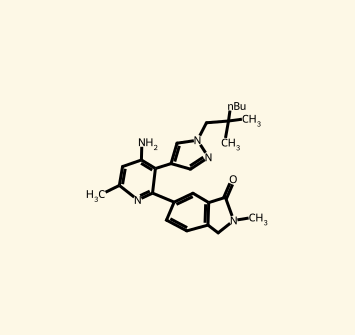 CCCCC(C)(C)Cn1cc(-c2c(N)cc(C)nc2-c2ccc3c(c2)C(=O)N(C)C3)cn1